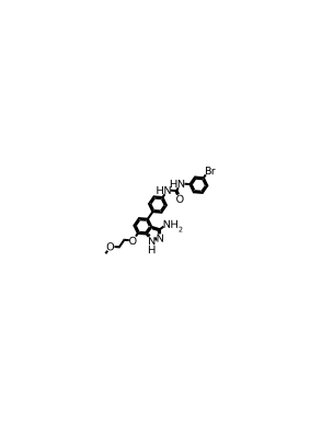 COCCOc1ccc(-c2ccc(NC(=O)Nc3cccc(Br)c3)cc2)c2c(N)n[nH]c12